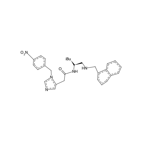 CC[C@H](C)[C@@H](CNCc1cccc2ccccc12)NC(=O)Cc1cncn1Cc1ccc([N+](=O)[O-])cc1